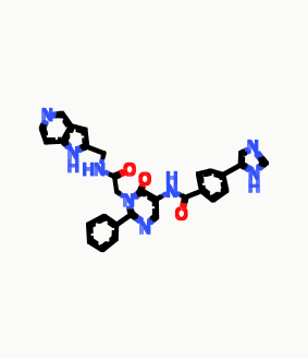 O=C(Cn1c(-c2ccccc2)ncc(NC(=O)c2ccc(-c3cnc[nH]3)cc2)c1=O)NCc1cc2cnccc2[nH]1